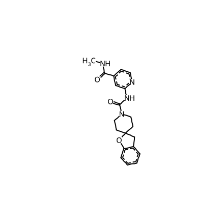 CNC(=O)c1ccnc(NC(=O)N2CCC3(CC2)Cc2ccccc2O3)c1